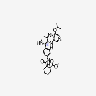 CN/C(=C(/Nc1cncc(OC(C)C)n1)C(C)=N)c1ccc(NC(=O)C2CCCCC2C(=O)OC)cc1